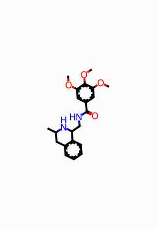 COc1cc(C(=O)NCC2NC(C)Cc3ccccc32)cc(OC)c1OC